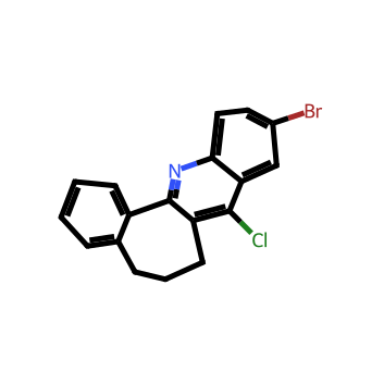 Clc1c2c(nc3ccc(Br)cc13)-c1ccccc1CCC2